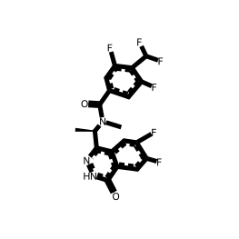 C[C@H](c1n[nH]c(=O)c2cc(F)c(F)cc12)N(C)C(=O)c1cc(F)c(C(F)F)c(F)c1